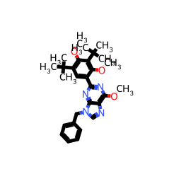 COc1c(-c2nc(OC)c3ncn(Cc4ccccc4)c3n2)cc(C(C)(C)C)c(OC)c1C(C)(C)C